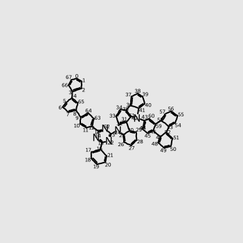 c1ccc(-c2cccc(-c3ccc(-c4nc(-c5ccccc5)nc(-n5c6ccccc6c6c5ccc5c7ccccc7n(-c7ccc8c9ccccc9c9ccccc9c8c7)c56)n4)cc3)c2)cc1